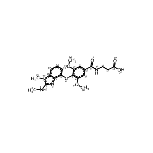 CNc1nc2c(Oc3c(OC)cc(C(=O)NCCC(=O)O)cc3OC)cccc2n1C